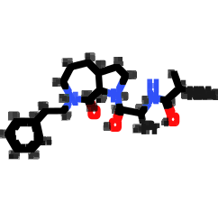 CNC(C)C(=O)NC(C(=O)N1CCC2CCCN(CCc3ccccc3)C(=O)C21)C(C)C